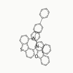 c1ccc(-c2ccc(N(c3ccc4c(c3)oc3ccccc34)c3cccc4sc5cccc(N(c6ccccc6)c6ccccc6)c5c34)cc2)cc1